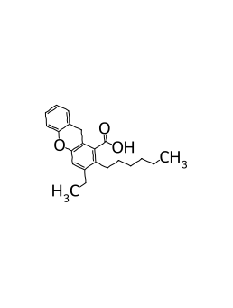 CCCCCCc1c(CC)cc2c(c1C(=O)O)Cc1ccccc1O2